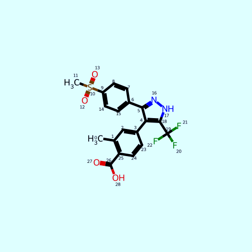 Cc1cc(-c2c(-c3ccc(S(C)(=O)=O)cc3)n[nH]c2C(F)(F)F)ccc1C(=O)O